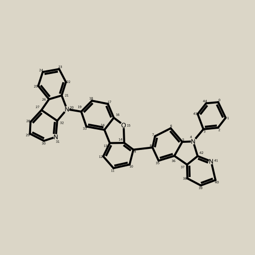 c1ccc(-n2c3ccc(-c4cccc5c4oc4ccc(-n6c7ccccc7c7cccnc76)cc45)cc3c3cccnc32)cc1